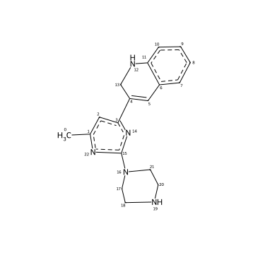 Cc1cc(C2=Cc3ccccc3NC2)nc(N2CCNCC2)n1